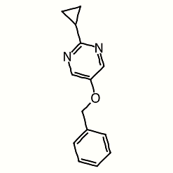 c1ccc(COc2cnc(C3CC3)nc2)cc1